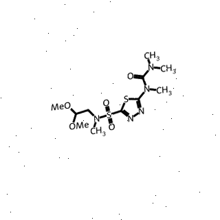 COC(CN(C)S(=O)(=O)c1nnc(N(C)C(=O)N(C)C)s1)OC